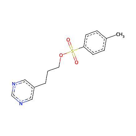 Cc1ccc(S(=O)(=O)OCCCc2cncnc2)cc1